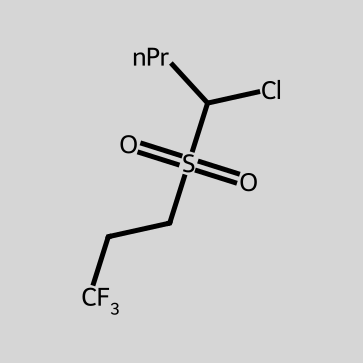 CCCC(Cl)S(=O)(=O)CCC(F)(F)F